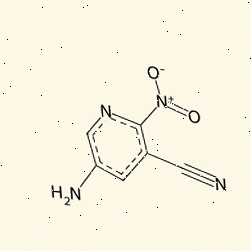 N#Cc1cc(N)cnc1[N+](=O)[O-]